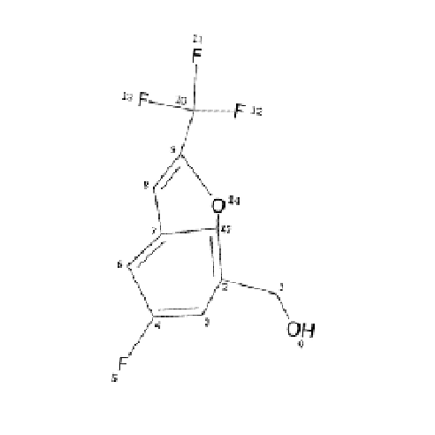 OCc1cc(F)cc2cc(C(F)(F)F)oc12